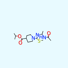 CS/C(=N\C(C)NC(C)=O)N1CCC(C(=O)OC(C)C)CC1